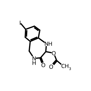 CC(=O)OC1Nc2ccc(I)cc2CNC1=O